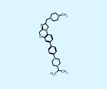 CC(C)N1CCN(c2ccc(-c3ccc4c(c3)OCC3=NC(CN5CCN(C)CC5)CN34)cc2)CC1